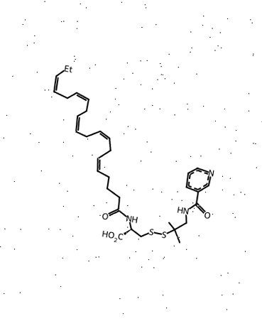 CC/C=C\C/C=C\C/C=C\C/C=C\C/C=C\CCCC(=O)N[C@@H](CSSC(C)(C)CNC(=O)c1cccnc1)C(=O)O